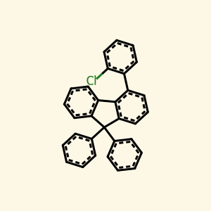 Clc1ccccc1-c1cccc2c1-c1ccccc1C2(c1ccccc1)c1ccccc1